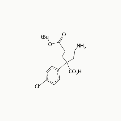 CC(C)(C)OC(=O)CCC(CCN)(C(=O)O)c1ccc(Cl)cc1